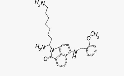 COc1ccccc1CNc1ccc2c3c(cccc13)C(=O)N2C(N)CCCCCCCN